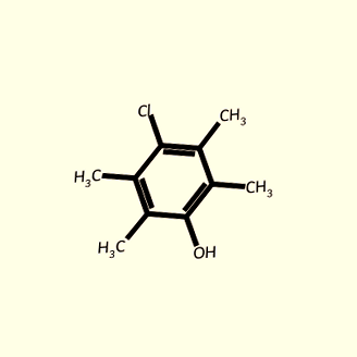 Cc1c(C)c(Cl)c(C)c(C)c1O